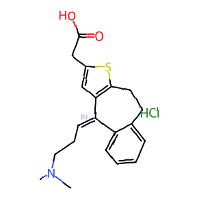 CN(C)CC/C=C1\c2ccccc2CCc2sc(CC(=O)O)cc21.Cl